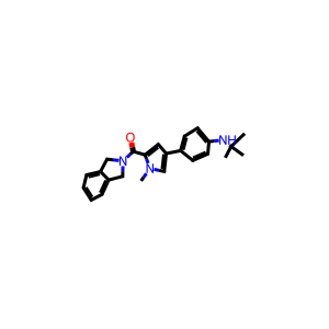 Cn1cc(-c2ccc(NC(C)(C)C)cc2)cc1C(=O)N1Cc2ccccc2C1